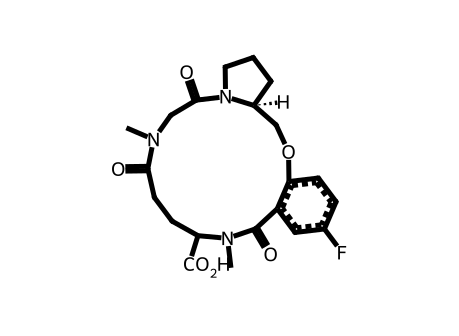 CN1CC(=O)N2CCC[C@H]2COc2ccc(F)cc2C(=O)N(C)C(C(=O)O)CCC1=O